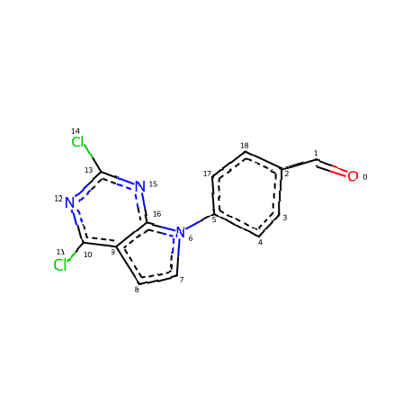 O=Cc1ccc(-n2ccc3c(Cl)nc(Cl)nc32)cc1